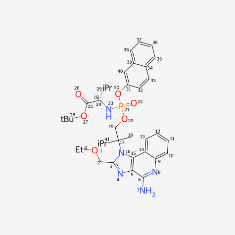 CCOCc1nc2c(N)nc3ccccc3c2n1C(C)(COP(=O)(N[C@H](C(=O)OC(C)(C)C)C(C)C)Oc1ccc2ccccc2c1)C(C)C